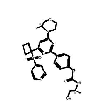 C[C@@H](CO)NC(=O)Nc1ccc(-c2nc(N3CCOC[C@@H]3C)cc(C3(S(=O)(=O)c4ccncc4)CCC3)n2)cc1